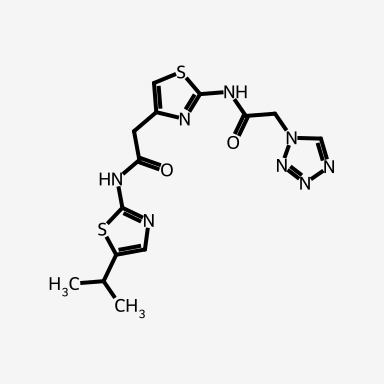 CC(C)c1cnc(NC(=O)Cc2csc(NC(=O)Cn3cnnn3)n2)s1